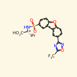 CC(C)[C@@H](NS(=O)(=O)c1ccc2oc3ccc(-c4noc(C(F)(F)F)n4)cc3c2c1)C(=O)O